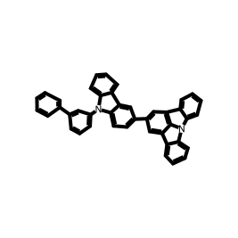 c1ccc(-c2cccc(-n3c4ccccc4c4cc(-c5cc6c7ccccc7n7c8ccccc8c(c5)c67)ccc43)c2)cc1